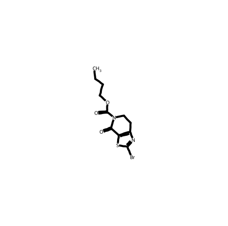 CCCCOC(=O)N1CCc2nc(Br)sc2C1=O